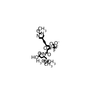 COc1ncc(C#Cc2ccc(C(=O)NC(CC(=O)O)C[N+](C)(C)C)o2)cn1.O=C([O-])C(F)(F)F